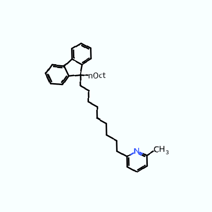 CCCCCCCCC1(CCCCCCCCCc2cccc(C)n2)c2ccccc2-c2ccccc21